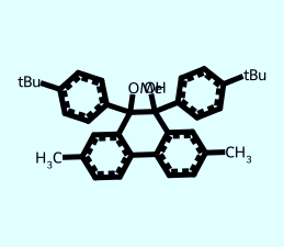 COC1(c2ccc(C(C)(C)C)cc2)c2cc(C)ccc2-c2ccc(C)cc2C1(O)c1ccc(C(C)(C)C)cc1